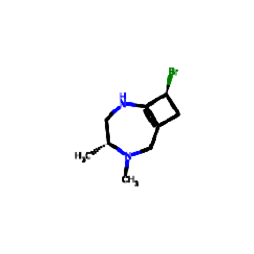 C[C@@H]1CNC2=C(C[C@@H]2Br)CN1C